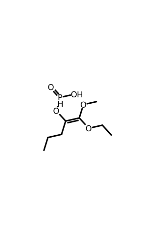 CCCC(O[PH](=O)O)=C(OC)OCC